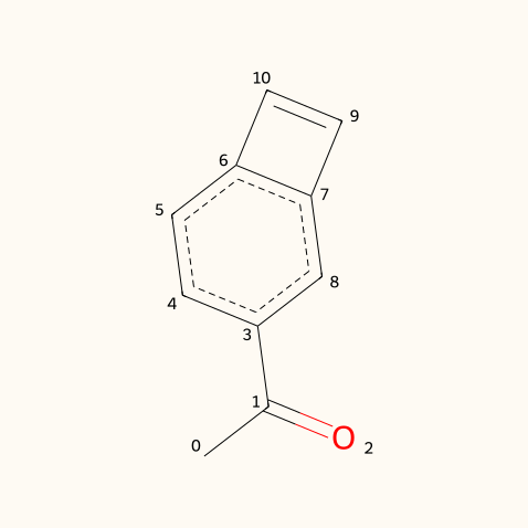 CC(=O)c1ccc2c(c1)C=C2